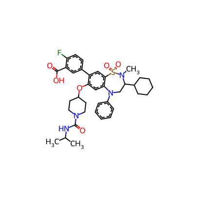 CC(C)NC(=O)N1CCC(Oc2cc3c(cc2-c2ccc(F)c(C(=O)O)c2)S(=O)(=O)N(C)C(C2CCCCC2)CN3c2ccccc2)CC1